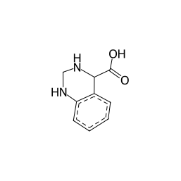 O=C(O)C1NCNc2ccccc21